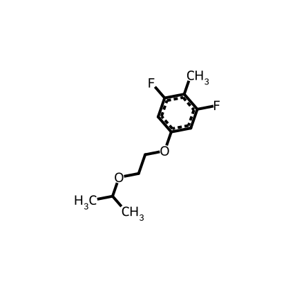 Cc1c(F)cc(OCCOC(C)C)cc1F